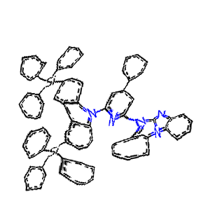 c1ccc(-c2cc(-n3c4ccc([Si](c5ccccc5)(c5ccccc5)c5ccccc5)cc4c4cc([Si](c5ccccc5)(c5ccccc5)c5ccccc5)ccc43)nc(-n3c4ccccc4n4c5ccccc5nc34)c2)cc1